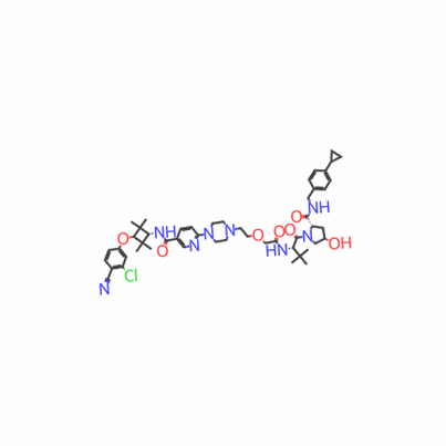 CC(C)(C)[C@H](NC(=O)COCCN1CCN(c2ccc(C(=O)N[C@H]3C(C)(C)[C@H](Oc4ccc(C#N)c(Cl)c4)C3(C)C)cn2)CC1)C(=O)N1C[C@H](O)C[C@H]1C(=O)NCc1ccc(C2CC2)cc1